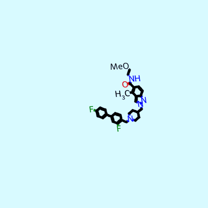 COCCNC(=O)c1ccc2nn(CC3CCN(Cc4ccc(-c5ccc(F)cc5)cc4F)CC3)cc2c1C